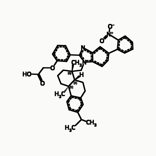 CC(C)c1ccc2c(c1)CC[C@H]1[C@@](C)(Cn3c(-c4cccc(OCC(=O)O)c4)nc4cc(-c5ccccc5[N+](=O)[O-])ccc43)CCC[C@]21C